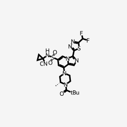 C[C@@H]1CN(c2cc(S(=O)(=O)NC3(C#N)CC3)cn3c(-c4nnc(C(F)F)s4)ncc23)CCN1C(=O)C(C)(C)C